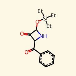 CC[Si](CC)(CC)OC1NC(C(=O)c2ccccc2)C1=O